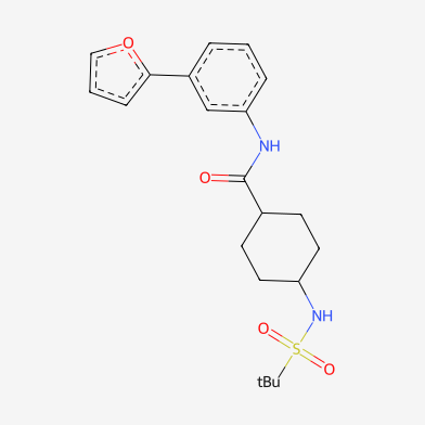 CC(C)(C)S(=O)(=O)NC1CCC(C(=O)Nc2cccc(-c3ccco3)c2)CC1